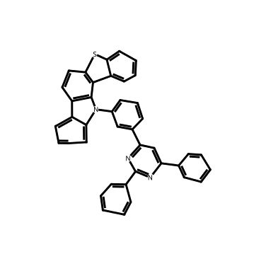 c1ccc(-c2cc(-c3cccc(-n4c5ccccc5c5ccc6sc7ccccc7c6c54)c3)nc(-c3ccccc3)n2)cc1